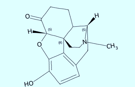 CN1CC[C@@]23c4c5ccc(O)c4O[C@@H]2C(=O)CCC3[C@@H]1C5